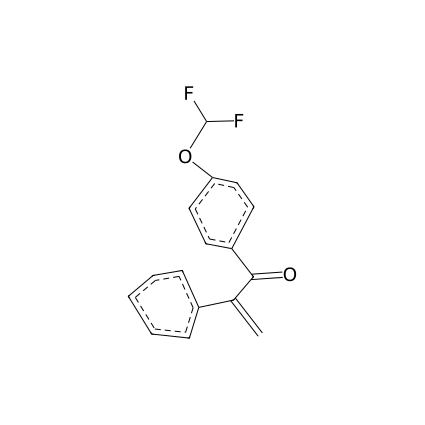 C=C(C(=O)c1ccc(OC(F)F)cc1)c1ccccc1